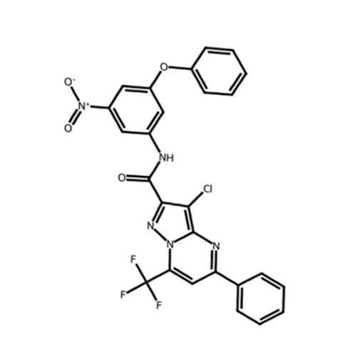 O=C(Nc1cc(Oc2ccccc2)cc([N+](=O)[O-])c1)c1nn2c(C(F)(F)F)cc(-c3ccccc3)nc2c1Cl